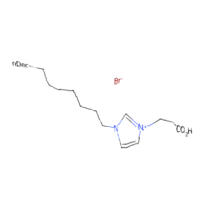 CCCCCCCCCCCCCCCCn1cc[n+](CC(=O)O)c1.[Br-]